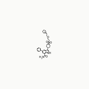 NC(=O)c1cc(-c2ccccc2)cc2c(C3CCN(S(=O)(=O)CCOCCN4CCCC4)CC3)c[nH]c12